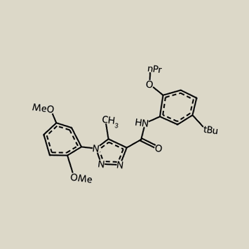 CCCOc1ccc(C(C)(C)C)cc1NC(=O)c1nnn(-c2cc(OC)ccc2OC)c1C